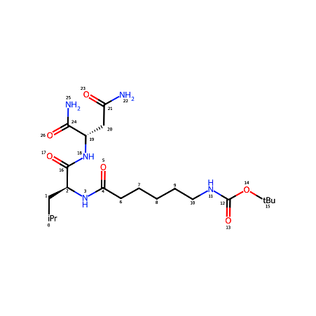 CC(C)C[C@H](NC(=O)CCCCCNC(=O)OC(C)(C)C)C(=O)N[C@@H](CC(N)=O)C(N)=O